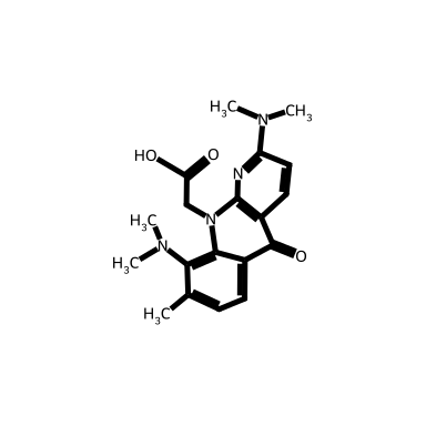 Cc1ccc2c(=O)c3ccc(N(C)C)nc3n(CC(=O)O)c2c1N(C)C